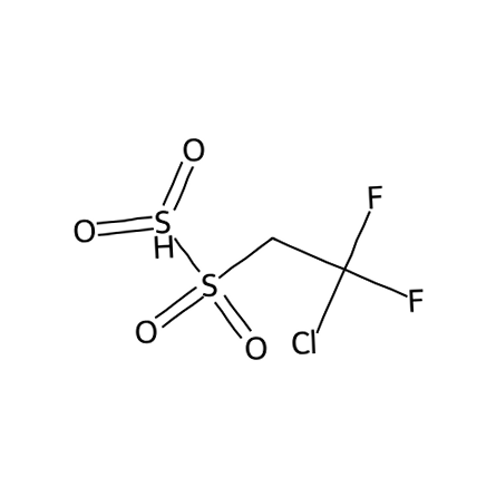 O=[SH](=O)S(=O)(=O)CC(F)(F)Cl